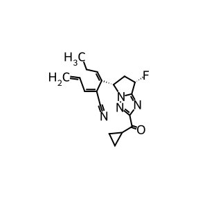 C=C/C=C(C#N)\C(=C/CC)[C@@H]1C[C@H](F)c2nc(C(=O)C3CC3)nn21